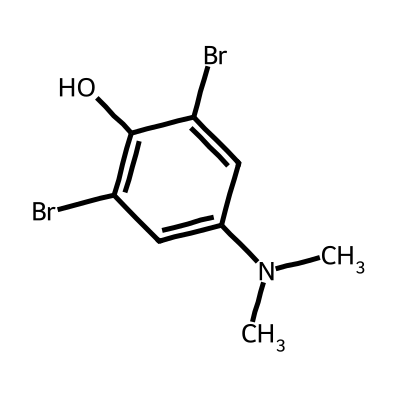 CN(C)c1cc(Br)c(O)c(Br)c1